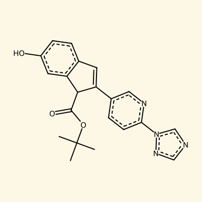 CC(C)(C)OC(=O)C1C(c2ccc(-n3cncn3)nc2)=Cc2ccc(O)cc21